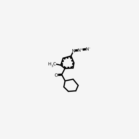 Cc1cc(N=[N+]=[N-])ccc1C(=O)C1CCCCC1